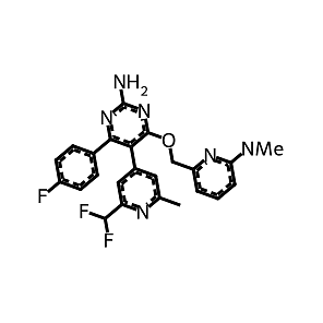 CNc1cccc(COc2nc(N)nc(-c3ccc(F)cc3)c2-c2cc(C)nc(C(F)F)c2)n1